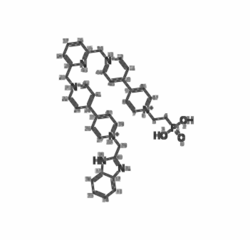 O=P(O)(O)CC[n+]1ccc(-c2cc[n+](Cc3cccc(C[n+]4ccc(-c5cc[n+](Cc6nc7ccccc7[nH]6)cc5)cc4)n3)cc2)cc1